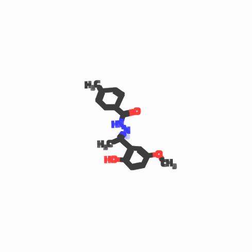 COc1ccc(O)c(/C(C)=N/NC(=O)c2ccc(C)cc2)c1